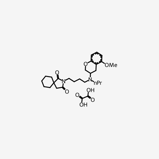 CCCN(CCCCN1C(=O)CC2(CCCCC2)C1=O)C1COc2cccc(OC)c2C1.O=C(O)C(=O)O